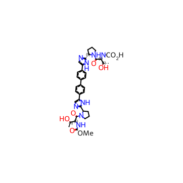 COC(=O)N[C@H](C(=O)N1CCCC1c1ncc(-c2ccc(-c3ccc(-c4cnc([C@@H]5CCCN5C(=O)[C@@H](NC(=O)O)[C@H](C)O)[nH]4)cc3)cc2)[nH]1)[C@@H](C)O